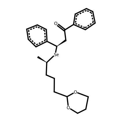 C[C@H](CCCC1OCCCO1)[Se][C@H](CC(=O)c1ccccc1)c1ccccc1